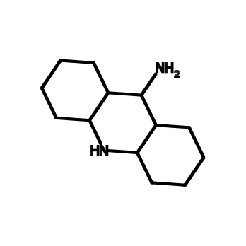 NC1C2CCCCC2NC2CCCCC21